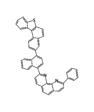 c1ccc(-c2ccc3ccc4ccc(-c5ccc(-c6ccc7c(ccc8sc9ccccc9c87)c6)c6ccccc56)nc4c3n2)cc1